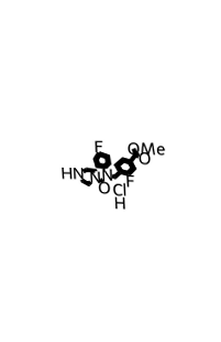 COC(=O)c1ccc(CN(C(=O)N2CCNCC2)c2ccc(F)cc2)c(F)c1.Cl